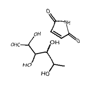 CC(O)C(O)C(O)C(O)C=O.O=C1C=CC(=O)N1